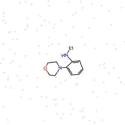 CCNc1ccccc1N1CCOCC1